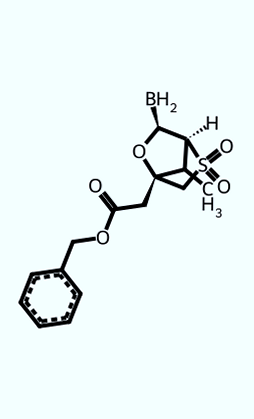 B[C@@H]1O[C@@]2(CC(=O)OCc3ccccc3)CS(=O)(=O)[C@H]1C2C